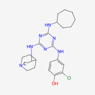 Oc1ccc(Nc2nc(NC3CCCCCC3)nc(NC3CN4CCC3CC4)n2)cc1Cl